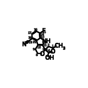 CCC[C@@]1(C(=O)O)OCCc2c1[nH]c1c(F)ccc(C#N)c21